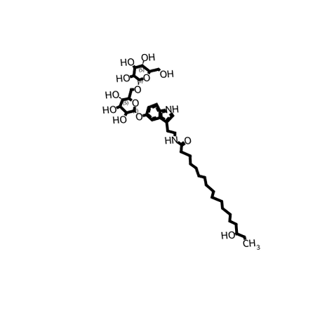 CCC(O)CCCCCCCCCCCCCCC(=O)NCCc1c[nH]c2ccc(O[C@H]3OC(CO[C@H]4OC(CO)[C@@H](O)C(O)C4O)[C@@H](O)C(O)C3O)cc12